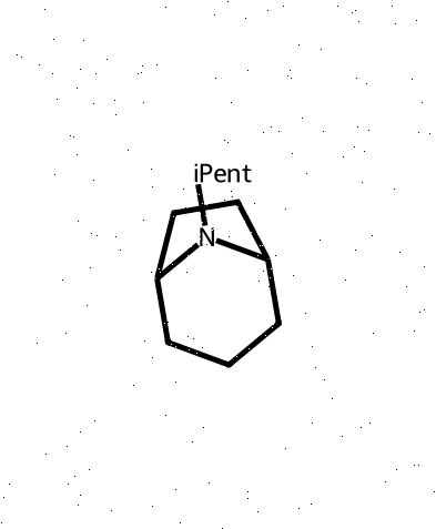 CCCC(C)N1C2CCCC1CC2